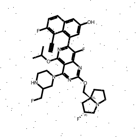 C#Cc1c(F)ccc2cc(O)cc(-c3nc(OC(C)C)c4c(N5CCNC(CF)C5)nc(OC[C@@]56CCCN5C[C@H](F)C6)nc4c3F)c12